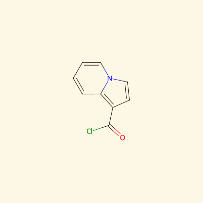 O=C(Cl)c1ccn2ccccc12